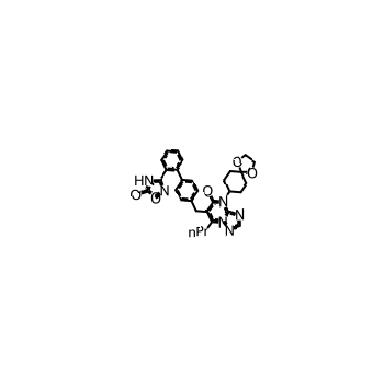 CCCc1c(Cc2ccc(-c3ccccc3-c3noc(=O)[nH]3)cc2)c(=O)n(C2CCC3(CC2)OCCO3)c2ncnn12